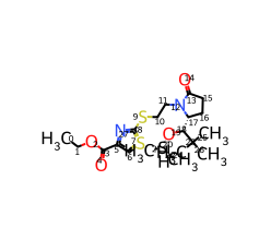 CCOC(=O)c1csc(SCCN2C(=O)CC[C@@H]2C(O[SiH](C)C)C(C)(C)C)n1